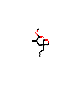 C=C(CC1(CCC)COC1)C(=O)OC